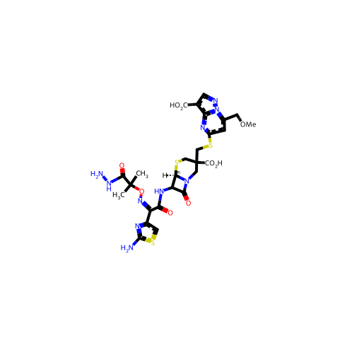 COCc1cc(SCC2(C(=O)O)CS[C@@H]3C(NC(=O)C(=NOC(C)(C)C(=O)NN)c4csc(N)n4)C(=O)N3C2)nc2c(C(=O)O)cnn12